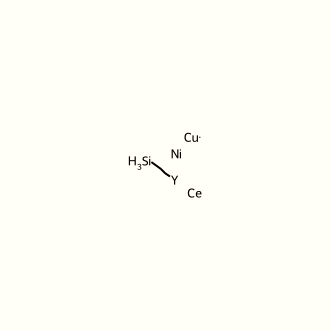 [Ce].[Cu].[Ni].[SiH3][Y]